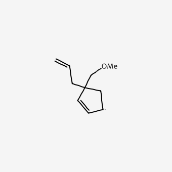 C=CCC1(COC)C=C[CH]C1